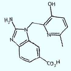 Cc1ccc(O)c(Cn2c(N)nc3ccc(C(=O)O)cc32)n1